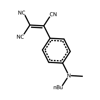 CCCCN(C)c1ccc(C(C#N)=C(C#N)C#N)cc1